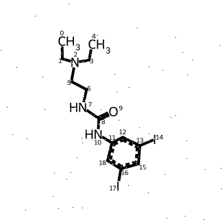 CCN(CC)CCNC(=O)Nc1cc(I)cc(I)c1